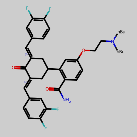 CCCCN(CCCC)CCOc1ccc(C(N)=O)c(C2C/C(=C\c3ccc(F)c(F)c3)C(=O)/C(=C/c3ccc(F)c(F)c3)C2)c1